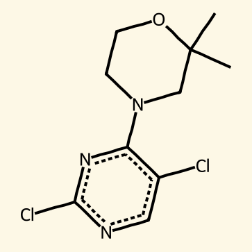 CC1(C)CN(c2nc(Cl)ncc2Cl)CCO1